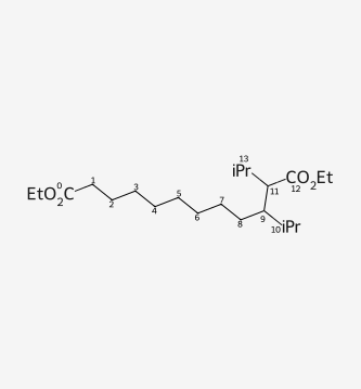 CCOC(=O)CCCCCCCCC(C(C)C)C(C(=O)OCC)C(C)C